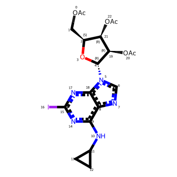 CC(=O)OC[C@@H]1O[C@@H](n2cnc3c(NC4CC4)nc(I)nc32)[C@H](OC(C)=O)[C@@H]1OC(C)=O